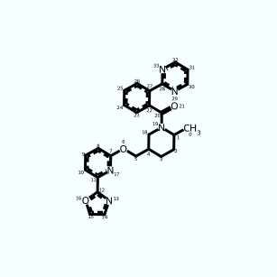 CC1CCC(COc2cccc(-c3ncco3)n2)CN1C(=O)c1ccccc1-c1ncccn1